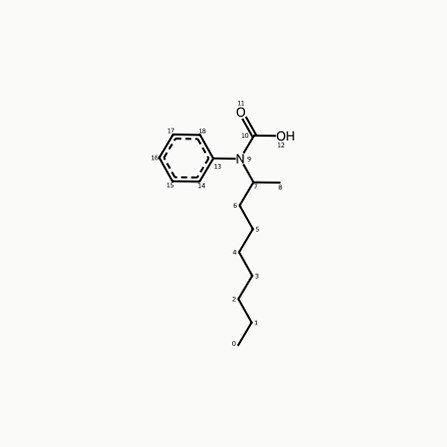 CCCCCCCC(C)N(C(=O)O)c1ccccc1